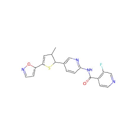 CC1C=C(c2ccno2)SC1c1ccc(NC(=O)c2ccncc2F)nc1